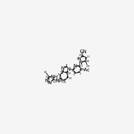 CC(=O)c1ccc(-n2cnc3cc(Nc4nnc(C)[nH]4)ccc32)nc1-n1nc(C#N)cc1C